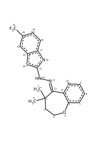 CC1(C)CCOc2cccnc2/C1=N/Nc1nc2cnc(C(F)(F)F)cc2s1